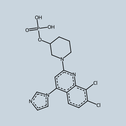 O=P(O)(O)OC1CCCN(c2cc(-n3ccnc3)c3ccc(Cl)c(Cl)c3n2)C1